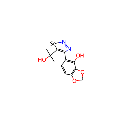 CC(C)(O)c1[se]nnc1-c1ccc2c(c1O)OCO2